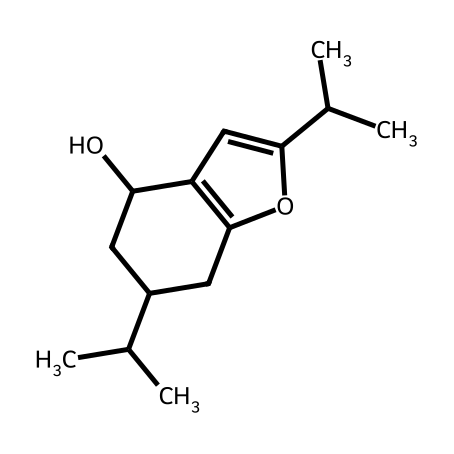 CC(C)c1cc2c(o1)CC(C(C)C)CC2O